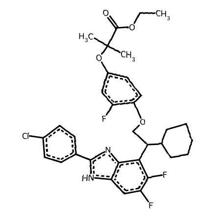 CCOC(=O)C(C)(C)Oc1ccc(OCC(c2c(F)c(F)cc3[nH]c(-c4ccc(Cl)cc4)nc23)C2CCCCC2)c(F)c1